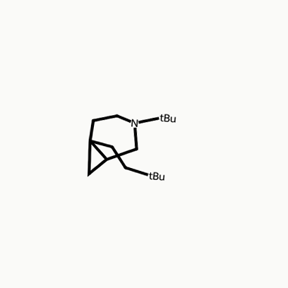 CC(C)(C)CCC12CCN(C(C)(C)C)CC1C2